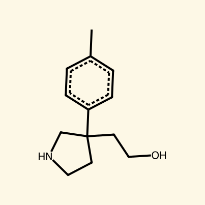 Cc1ccc(C2(CCO)CCNC2)cc1